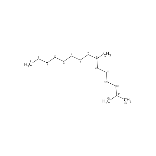 CCCCCCCCC(C)CCCCC(C)C